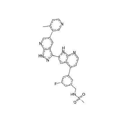 Cc1ccncc1-c1cnc2[nH]nc(-c3cc4c(-c5cc(F)cc(CNS(C)(=O)=O)c5)ccnc4[nH]3)c2c1